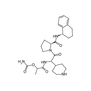 CC(OC(N)=O)C(=O)NC(C(=O)N1CCC[C@H]1C(=O)N[C@@H]1CCCc2ccccc21)C1CCNCC1